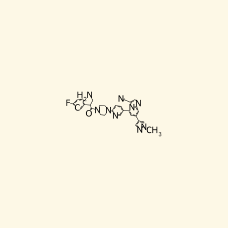 Cn1cc(-c2cc(-c3ccc(N4CCN(C(=O)C(CN)c5ccc(F)cc5)CC4)nc3)n3c(C#N)cnc3c2)cn1